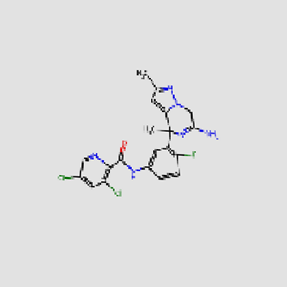 Cc1cc2n(n1)CC(N)=NC2(C)c1cc(NC(=O)c2ncc(Cl)cc2Cl)ccc1F